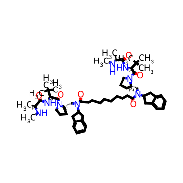 CN[C@@H](C)C(=O)N[C@H](C(=O)N1CCC[C@H]1CN(C(=O)CCCCCCCCC(=O)N(C[C@@H]1CCCN1C(=O)[C@@H](NC(=O)[C@H](C)NC)C(C)(C)C)C1Cc2ccccc2C1)C1Cc2ccccc2C1)C(C)(C)C